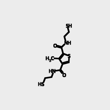 Cc1c(C(=O)NCCS)csc1C(=O)NCCS